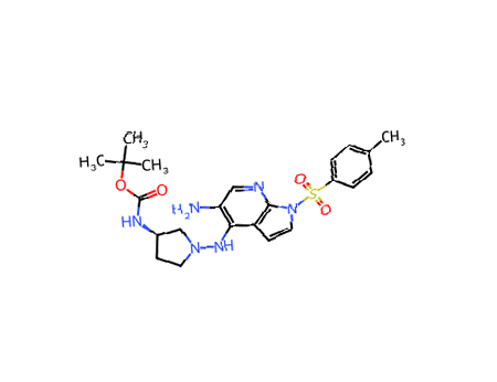 Cc1ccc(S(=O)(=O)n2ccc3c(NN4CC[C@@H](NC(=O)OC(C)(C)C)C4)c(N)cnc32)cc1